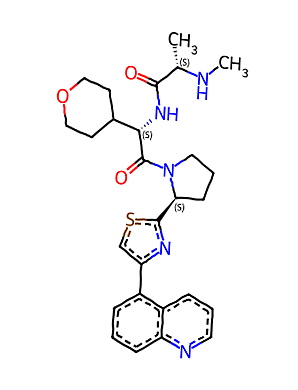 CN[C@@H](C)C(=O)N[C@H](C(=O)N1CCC[C@H]1c1nc(-c2cccc3ncccc23)cs1)C1CCOCC1